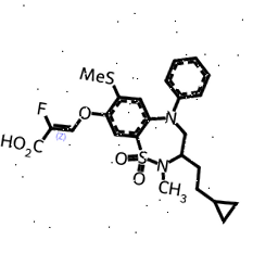 CSc1cc2c(cc1O/C=C(\F)C(=O)O)S(=O)(=O)N(C)C(CCC1CC1)CN2c1ccccc1